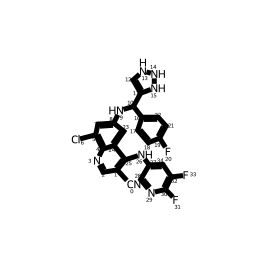 N#Cc1cnc2c(Cl)cc(NC(C3=CNNN3)c3ccc(F)cc3)cc2c1Nc1cnc(F)c(F)c1